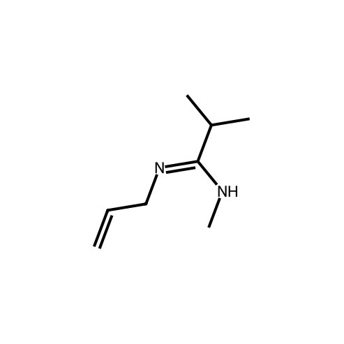 C=CC/N=C(\NC)C(C)C